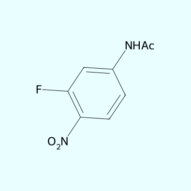 CC(=O)Nc1ccc([N+](=O)[O-])c(F)c1